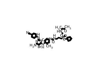 CC(=O)[C@H](C)NCOP(=O)(CCCNC(=O)Nc1cc(C)c(Nc2nc(Nc3ccc(C#N)cc3)nc(N)c2Br)c(C)c1)Oc1ccccc1